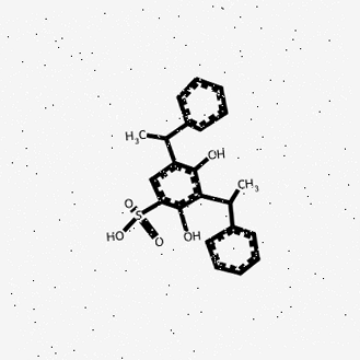 CC(c1ccccc1)c1cc(S(=O)(=O)O)c(O)c(C(C)c2ccccc2)c1O